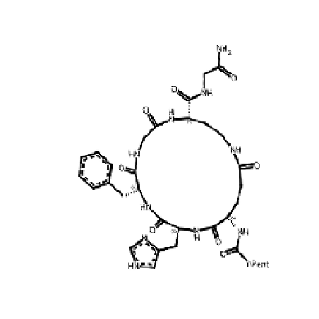 CCCCCC(=O)N[C@H]1CCC(=O)NCC[C@@H](C(=O)NCC(N)=O)NC(=O)CNC(=O)[C@@H](Cc2ccccc2)NC(=O)[C@H](Cc2c[nH]cn2)NC1=O